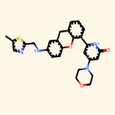 Cc1cnc(CNc2ccc3c(c2)Cc2cccc(-c4cc(N5CCOCC5)cc(=O)[nH]4)c2O3)s1